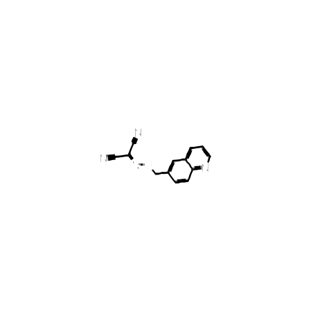 N#CC(C#N)=NOCc1ccc2ncccc2c1